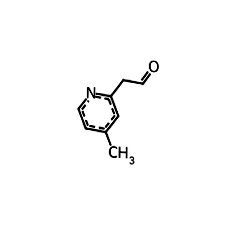 Cc1ccnc(CC=O)c1